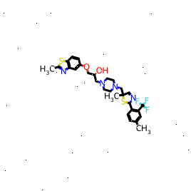 Cc1ccc(C2N=CC(C)(CN3CCN(C[C@H](O)COc4ccc5sc(C)nc5c4)CC3)S2)c(C(F)(F)F)c1